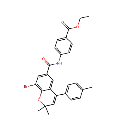 CCOC(=O)c1ccc(NC(=O)c2cc(Br)c3c(c2)C(c2ccc(C)cc2)=CC(C)(C)O3)cc1